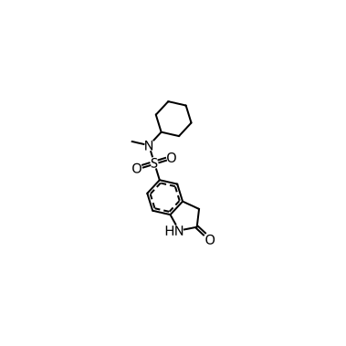 CN(C1CCCCC1)S(=O)(=O)c1ccc2c(c1)CC(=O)N2